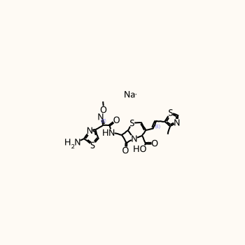 CO/N=C(\C(=O)NC1C(=O)N2C(C(=O)O)C(/C=C/c3scnc3C)=CSC12)c1csc(N)n1.[Na]